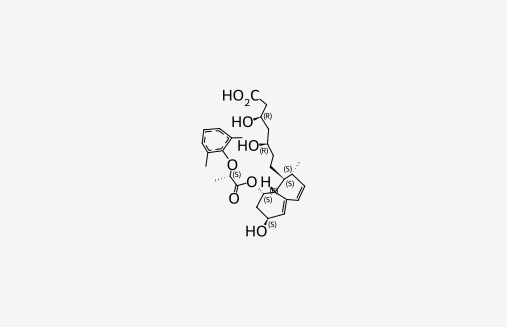 Cc1cccc(C)c1O[C@@H](C)C(=O)O[C@H]1C[C@H](O)C=C2C=C[C@@H](C)[C@H](CC[C@@H](O)C[C@@H](O)CC(=O)O)[C@H]21